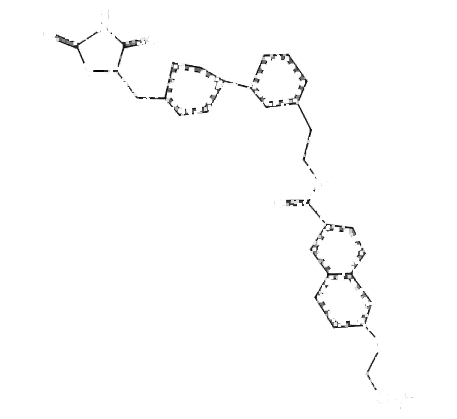 O=C(O)COc1ccc2cc(C(=O)NCCc3cccc(-c4ccc(CC5SC(=O)NC5=O)cc4)c3)ccc2c1